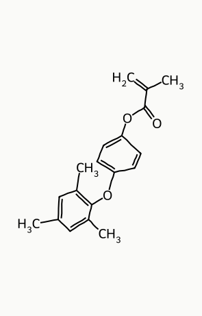 C=C(C)C(=O)Oc1ccc(Oc2c(C)cc(C)cc2C)cc1